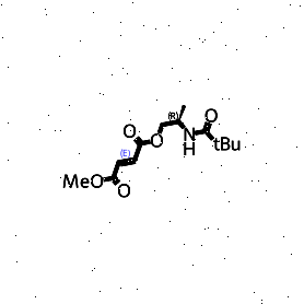 COC(=O)/C=C/C(=O)OC[C@@H](C)NC(=O)C(C)(C)C